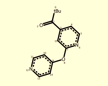 CC(C)(C)C(=O)c1ccnc(Oc2ccncc2)c1